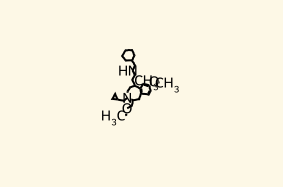 CCOCC1Cc2ccc(OC)cc2C(C)(CCNCC2CCCCC2)CCN1CC1CC1